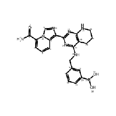 NC(=O)c1cccc2c(-c3nc4c(c(NCc5cccc(B(O)O)c5)n3)CCCN4)ncn12